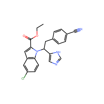 CCOC(=O)c1cc2cc(Cl)ccc2n1C(Cc1ccc(C#N)cc1)c1cnc[nH]1